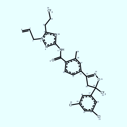 C=CCn1nc(NC(=O)c2ccc(C3=NOC(c4cc(Cl)cc(Cl)c4)(C(F)(F)F)C3)cc2C)nc1CCC(F)(F)F